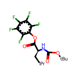 CC(C)C[C@H](NC(=O)OC(C)(C)C)C(=O)Oc1c(F)c(F)c(F)c(F)c1F